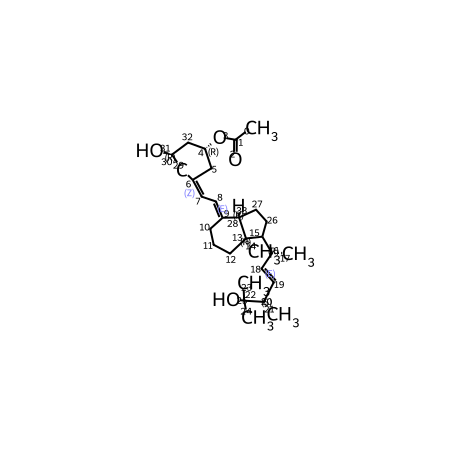 CC(=O)O[C@@H]1C/C(=C\C=C2/CCC[C@]3(C)C([C@H](C)/C=C/[C@H](C)C(C)(C)O)CC[C@@H]23)C[C@@H](O)C1